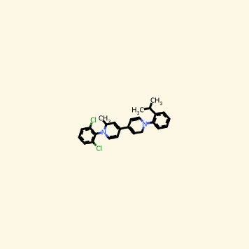 CC(C)c1ccccc1N1C=CC(C2=CC(C)N(c3c(Cl)cccc3Cl)C=C2)=CC1